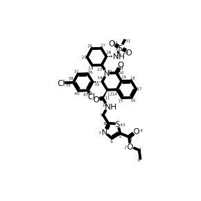 CCOC(=O)c1cnc(CNC(=O)[C@@H]2c3ccccc3C(=O)N(C3CCCC[C@@H]3NS(C)(=O)=O)[C@H]2c2ccc(Cl)cc2Cl)s1